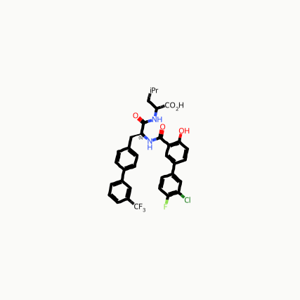 CC(C)CC(NC(=O)[C@H](Cc1ccc(-c2cccc(C(F)(F)F)c2)cc1)NC(=O)c1cc(-c2ccc(F)c(Cl)c2)ccc1O)C(=O)O